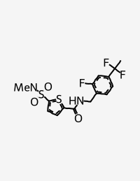 CNS(=O)(=O)c1ccc(C(=O)NCc2ccc(C(C)(F)F)cc2F)s1